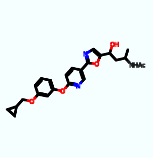 CC(=O)NC(C)CC(O)c1cnc(-c2ccc(Oc3cccc(OCC4CC4)c3)nc2)o1